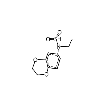 [CH2]CN(c1ccc2c(c1)OCCO2)[SH](=O)=O